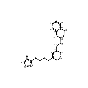 c1cc(CCCCc2nnn[nH]2)cc(OCc2ccc3ccccc3n2)c1